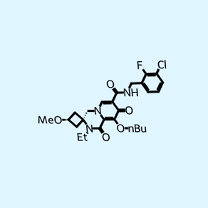 CCCCOc1c2n(cc(C(=O)NCc3cccc(Cl)c3F)c1=O)C[C@]1(C[C@H](OC)C1)N(CC)C2=O